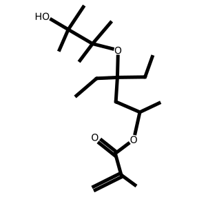 C=C(C)C(=O)OC(C)CC(CC)(CC)OC(C)(C)C(C)(C)O